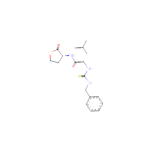 CC(C)C[C@H](NC(=S)NCc1ccccc1)C(=O)N[C@H]1CCOC1=O